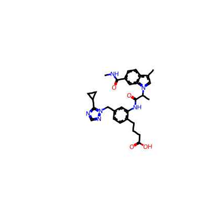 CNC(=O)c1ccc2c(C)cn(C(C)C(=O)Nc3cc(Cn4ncnc4C4CC4)ccc3CCCC(=O)O)c2c1